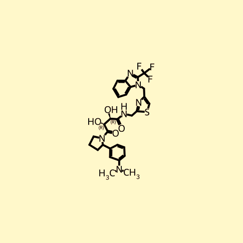 CN(C)c1cccc(C2CCCN2C(=O)[C@H](O)[C@@H](O)C(=O)NCc2nc(Cn3c(C(F)(F)F)nc4ccccc43)cs2)c1